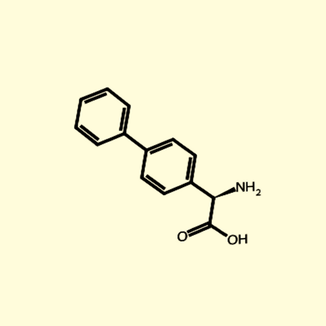 N[C@@H](C(=O)O)c1ccc(-c2ccccc2)cc1